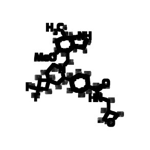 COc1cc(C)c2[nH]ccc2c1CN1CCC2(C[C@@H]1c1ccc(C(=O)NCC3COC3)cc1)CC(F)(F)C2